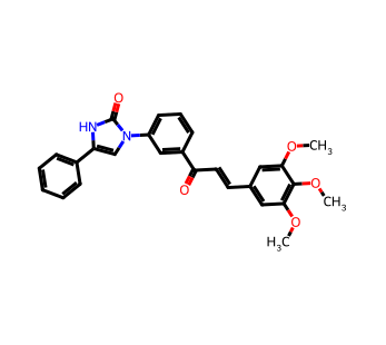 COc1cc(C=CC(=O)c2cccc(-n3cc(-c4ccccc4)[nH]c3=O)c2)cc(OC)c1OC